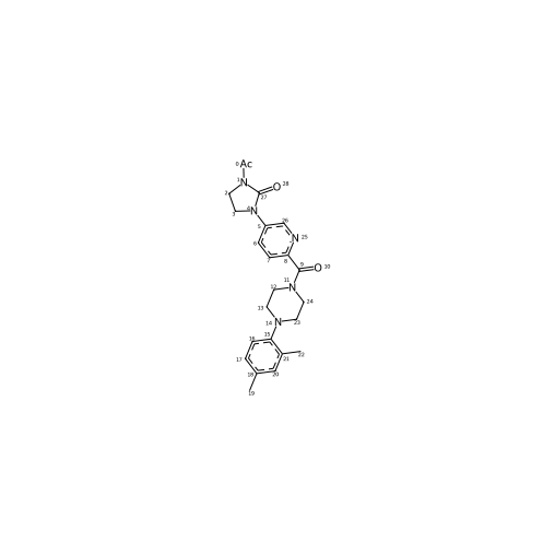 CC(=O)N1CCN(c2ccc(C(=O)N3CCN(c4ccc(C)cc4C)CC3)nc2)C1=O